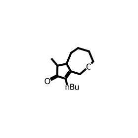 CCCCC1=C2CCCCCCC2C(C)C1=O